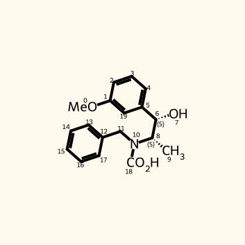 COc1cccc([C@H](O)[C@H](C)N(Cc2ccccc2)C(=O)O)c1